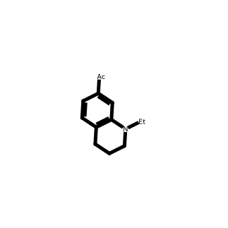 CCN1CCCc2ccc(C(C)=O)cc21